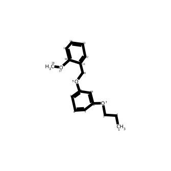 CCCOc1cccc(OCc2ccccc2OC)c1